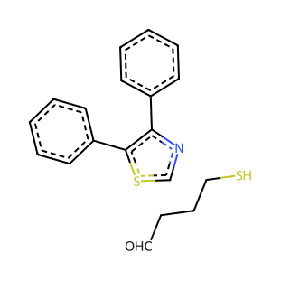 O=CCCCS.c1ccc(-c2ncsc2-c2ccccc2)cc1